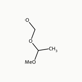 COC(C)OC[O]